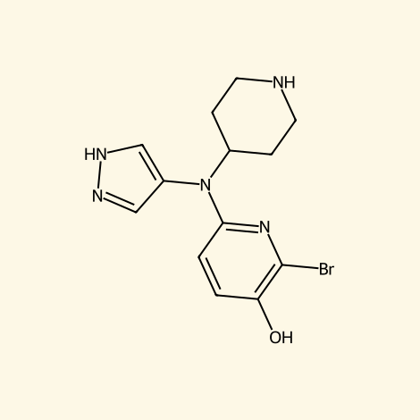 Oc1ccc(N(c2cn[nH]c2)C2CCNCC2)nc1Br